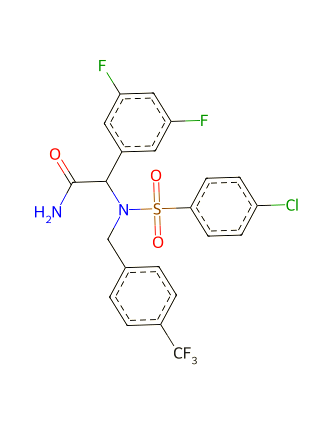 NC(=O)C(c1cc(F)cc(F)c1)N(Cc1ccc(C(F)(F)F)cc1)S(=O)(=O)c1ccc(Cl)cc1